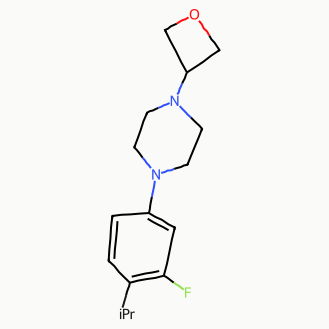 CC(C)c1ccc(N2CCN(C3COC3)CC2)cc1F